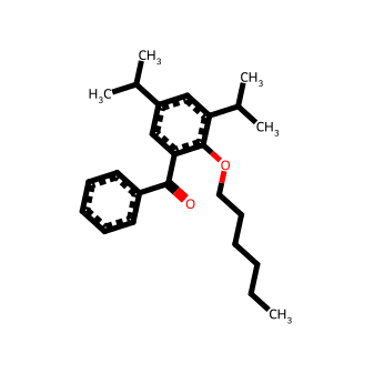 CCCCCCOc1c(C(=O)c2ccccc2)cc(C(C)C)cc1C(C)C